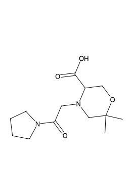 CC1(C)CN(CC(=O)N2CCCC2)C(C(=O)O)CO1